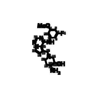 COc1cc(F)cc(Nc2ncnn3ccc(CN4CC[C@@H](N)[C@H](O)C4)c23)c1